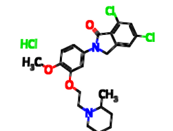 COc1ccc(N2Cc3cc(Cl)cc(Cl)c3C2=O)cc1OCCN1CCCCC1C.Cl